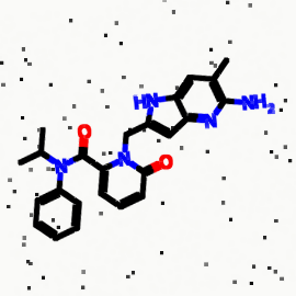 Cc1cc2[nH]c(Cn3c(C(=O)N(c4ccccc4)C(C)C)cccc3=O)cc2nc1N